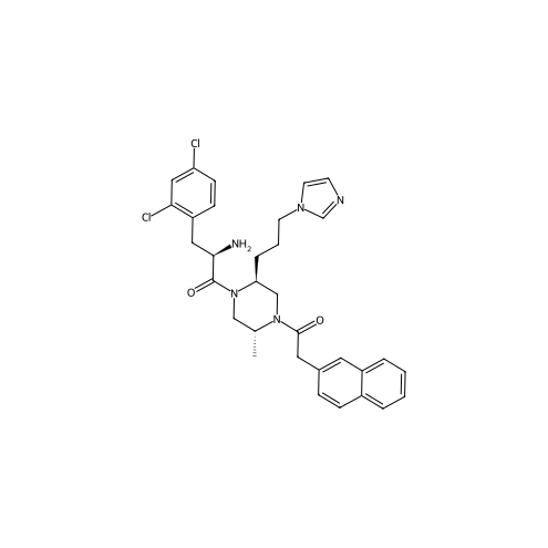 C[C@@H]1CN(C(=O)[C@H](N)Cc2ccc(Cl)cc2Cl)[C@@H](CCCn2ccnc2)CN1C(=O)Cc1ccc2ccccc2c1